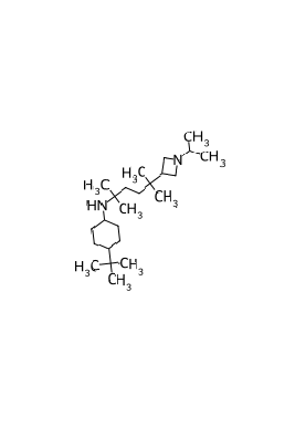 CC(C)N1CC(C(C)(C)CCC(C)(C)NC2CCC(C(C)(C)C)CC2)C1